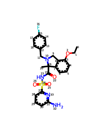 CCOc1cccc2c1CN(Cc1ccc(F)cc1)C2(C)C(=O)NS(=O)(=O)c1cccc(N)n1